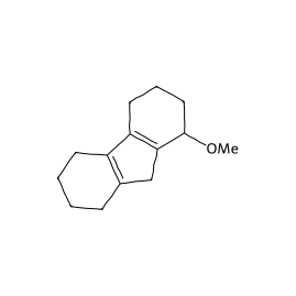 COC1CCCC2=C1CC1=C2CCCC1